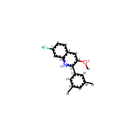 COc1cc2ccc(F)cc2nc1-c1cc(C)cc(C)c1